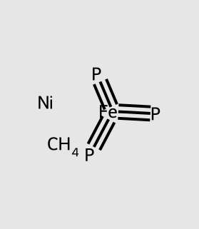 C.[Ni].[P]#[Fe](#[P])#[P]